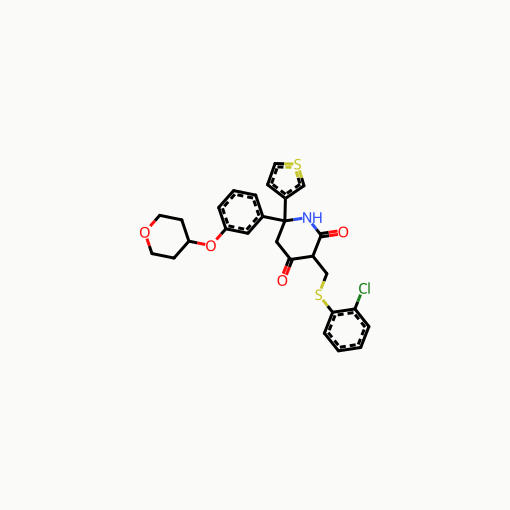 O=C1CC(c2ccsc2)(c2cccc(OC3CCOCC3)c2)NC(=O)C1CSc1ccccc1Cl